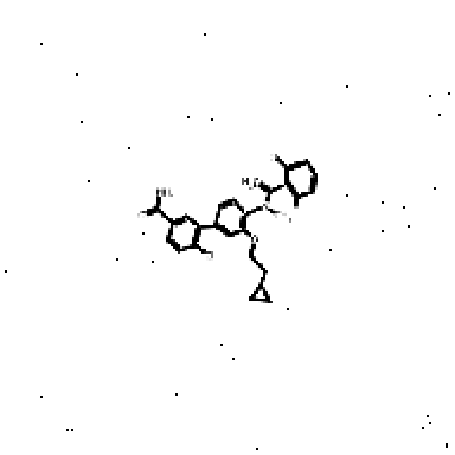 C=C(c1c(F)cccc1Cl)N(C)c1ccc(-c2cc(C(N)=O)ccc2Cl)cc1OCCC1CC1